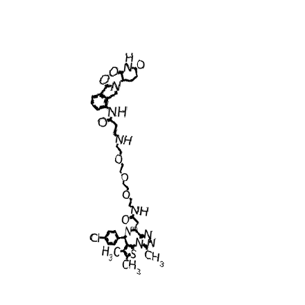 Cc1sc2c(c1C)C(c1ccc(Cl)cc1)=N[C@@H](CC(=O)NCCOCCOCCOCCNCCC(=O)Nc1cccc3c1CN(C1CCC(=O)NC1=O)C3=O)c1nnc(C)n1-2